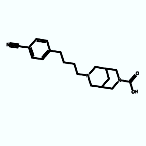 N#Cc1ccc(CCCCN2CC3CC(C2)CN(C(=O)O)C3)cc1